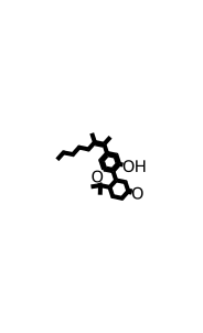 CCCCCC(C)=C(C)c1cc(O)c2c(c1)OC(C)(C)C1CCC(=O)CC21